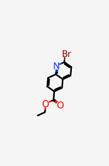 CCOC(=O)c1ccc2nc(Br)ccc2c1